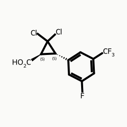 O=C(O)[C@@H]1[C@@H](c2cc(F)cc(C(F)(F)F)c2)C1(Cl)Cl